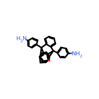 Nc1ccc(C23c4cccc(c4)C(c4ccc(N)cc4)(c4ccccc42)c2ccccc23)cc1